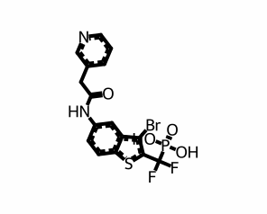 O=C(Cc1cccnc1)Nc1ccc2sc(C(F)(F)P(=O)(O)O)c(Br)c2c1